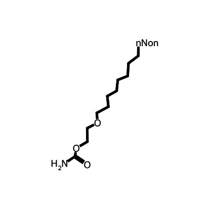 CCCCCCCCCCCCCCCCCOCCOC(N)=O